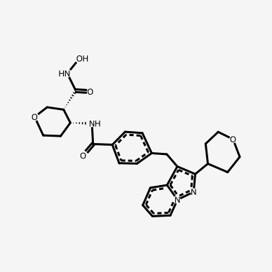 O=C(N[C@@H]1CCOC[C@@H]1C(=O)NO)c1ccc(Cc2c(C3CCOCC3)nn3ccccc23)cc1